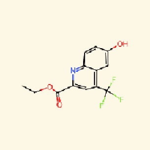 CCOC(=O)c1cc(C(F)(F)F)c2cc(O)ccc2n1